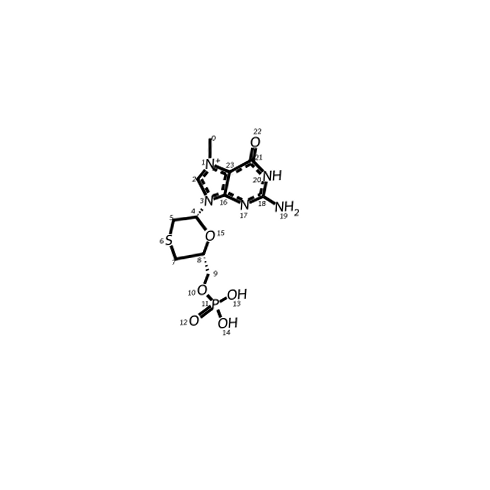 C[n+]1cn([C@H]2CSC[C@@H](COP(=O)(O)O)O2)c2nc(N)[nH]c(=O)c21